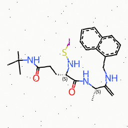 C=C(NCc1cccc2ccccc12)[C@H](C)NC(=O)[C@H](CCC(=O)NC(C)(C)C)NSI